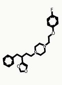 Fc1ccc(OCCN2CCN(CCC(Cc3ccccc3)C3=COCO3)CC2)cc1